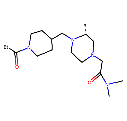 CCC(=O)N1CCC(CN2CCN(CC(=O)N(C)C)C[C@H]2C)CC1